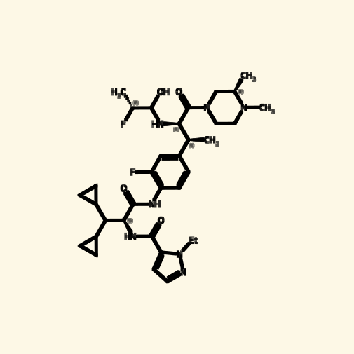 CCn1nccc1C(=O)N[C@H](C(=O)Nc1ccc([C@H](C)[C@@H](NC(O)[C@@H](C)F)C(=O)N2CCN(C)[C@H](C)C2)cc1F)C(C1CC1)C1CC1